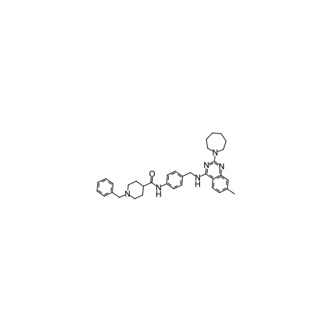 Cc1ccc2c(NCc3ccc(NC(=O)C4CCN(Cc5ccccc5)CC4)cc3)nc(N3CCCCCC3)nc2c1